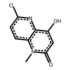 Cn1c(=O)cc(O)c2nc(Cl)ccc21